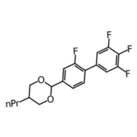 CCCC1COC(c2ccc(-c3cc(F)c(F)c(F)c3)c(F)c2)OC1